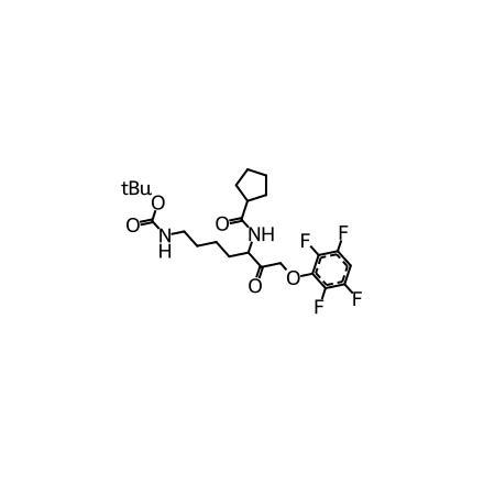 CC(C)(C)OC(=O)NCCCCC(NC(=O)C1CCCC1)C(=O)COc1c(F)c(F)cc(F)c1F